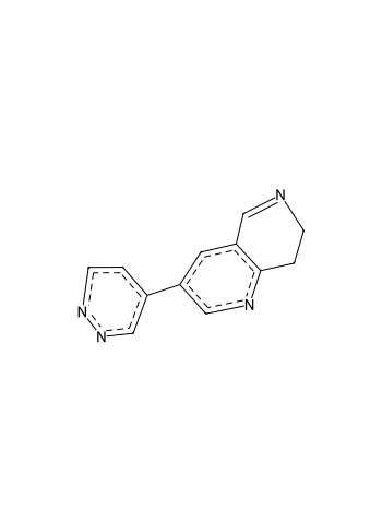 C1=NCCc2ncc(-c3ccnnc3)cc21